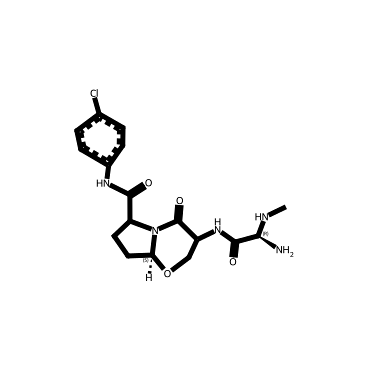 CN[C@@H](N)C(=O)NC1CO[C@H]2CCC(C(=O)Nc3ccc(Cl)cc3)N2C1=O